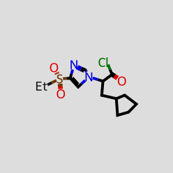 CCS(=O)(=O)c1cn(C(CC2CCCC2)C(=O)Cl)cn1